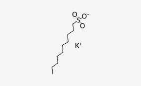 CCCCCCCCCCS(=O)(=O)[O-].[K+]